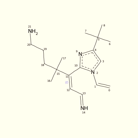 C=Cn1cc(C(C)(C)C)nc1/C(=C\C=N)C(C)(C)CCCN